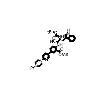 COC(=O)c1cc(-c2ccc(N3CCN(C(C)C)CC3)nc2)ccc1NC(C#N)[C@H](Cc1c[nH]c2ccccc12)NC(=O)OC(C)(C)C